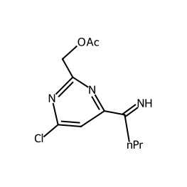 CCCC(=N)c1cc(Cl)nc(COC(C)=O)n1